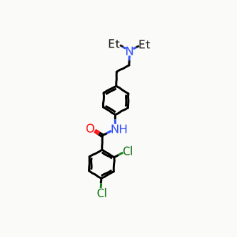 CCN(CC)CCc1ccc(NC(=O)c2ccc(Cl)cc2Cl)cc1